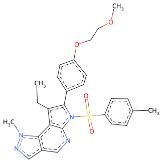 CCc1c(-c2ccc(OCCOC)cc2)n(S(=O)(=O)c2ccc(C)cc2)c2ncc3cnn(C)c3c12